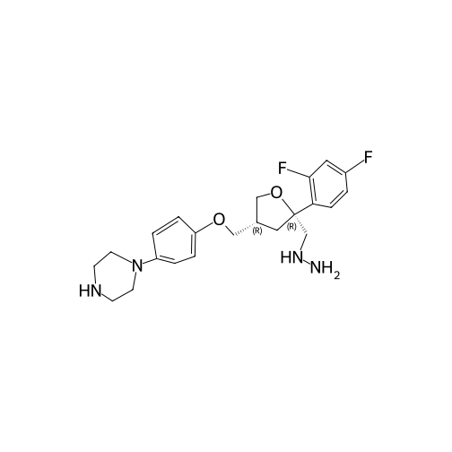 NNC[C@]1(c2ccc(F)cc2F)C[C@H](COc2ccc(N3CCNCC3)cc2)CO1